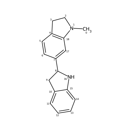 CN1CCc2ccc(C3Cc4ccccc4N3)cc21